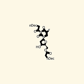 CCCCCCCCCCCC(=O)OC[C@@H]1O[C@H](n2cc(F)c(=O)n(C(=O)CCCCCCCCCCC)c2=O)CC1O